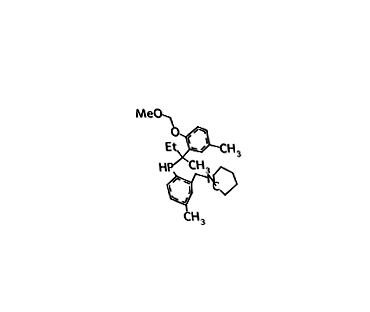 CCC(C)(Pc1ccc(C)cc1CN1CCCCC1)c1cc(C)ccc1OCOC